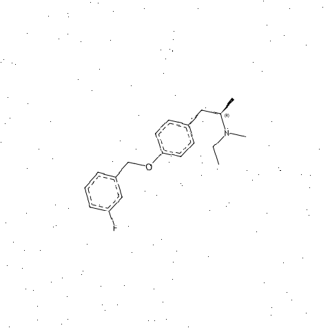 CCN(C)[C@H](C)Cc1ccc(OCc2cccc(F)c2)cc1